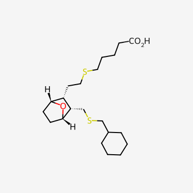 O=C(O)CCCCSCC[C@@H]1[C@H](CSCC2CCCCC2)[C@@H]2CC[C@H]1O2